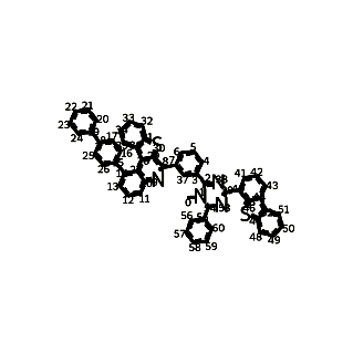 CN1C(c2cccc(-c3nc4cccc(-c5ccc(-c6ccccc6)cc5)c4c4c3sc3ccccc34)c2)=NC(c2cccc3c2sc2ccccc23)=NC1c1ccccc1